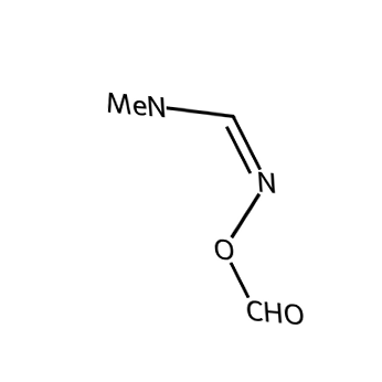 CN/C=N\OC=O